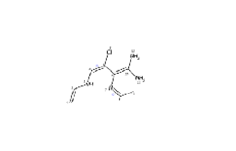 C=CN/C=C(/Cl)C(/N=C\C)=C(N)N